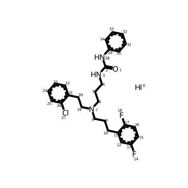 I.O=C(NCCCN(CCCc1cc(F)ccc1F)CCc1ccccc1Cl)Nc1ccccc1